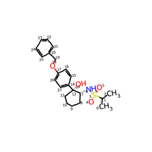 CC(C)S(=O)(=O)N[C@@H]1CCCC[C@@]1(O)c1ccc(OCc2ccccc2)cc1